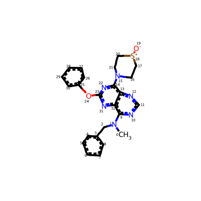 CN(Cc1ccccc1)c1ncnc2c(N3CC[S+]([O-])CC3)nc(Oc3ccccc3)nc12